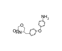 Nc1ccc(Oc2ccc(CC3COCC(=O)N3)cc2)cc1